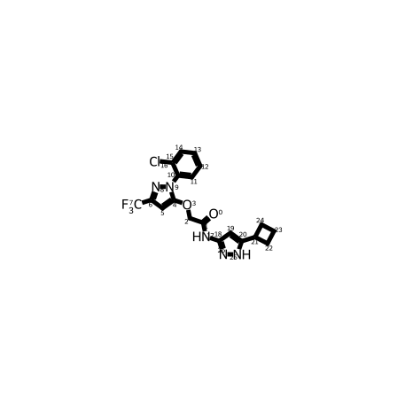 O=C(COc1cc(C(F)(F)F)nn1-c1ccccc1Cl)Nc1cc(C2CCC2)[nH]n1